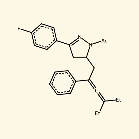 CCC(=C=C(CC1CC(c2ccc(F)cc2)=NN1C(C)=O)c1ccccc1)CC